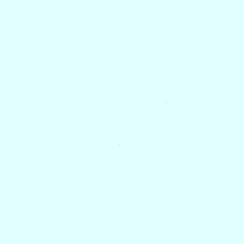 CC(C)(C)CNC(=O)CNC(=O)C(N)CCCCN